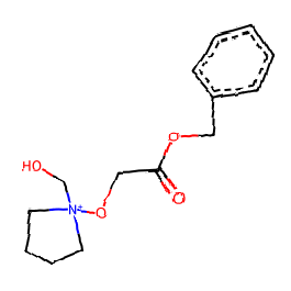 O=C(CO[N+]1(CO)CCCC1)OCc1ccccc1